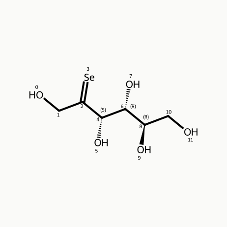 OCC(=[Se])[C@@H](O)[C@H](O)[C@H](O)CO